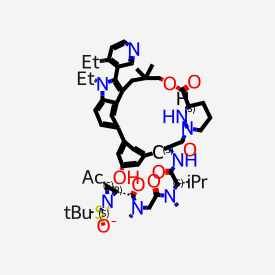 CCc1ccncc1-c1c2c3cc(ccc3n1CC)-c1cc(O)cc(c1)C[C@H](NC(=O)[C@H](C(C)C)N(C)C(=O)CN(C)C(=O)[C@H]1[C@@H](C(C)=O)N1[S@+]([O-])C(C)(C)C)C(=O)N1CCC[C@H](N1)C(=O)OCC(C)(C)C2